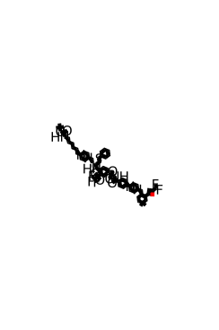 CC1(C)CCC(CN2CCN(c3ccc(C(=O)NS(=O)(=O)c4ccc(N[C@H](CCN5CCN(CCCCCCNC(=O)OC(C)(C)C)CC5)CSc5ccccc5)c(S(=O)(=O)C(F)(F)F)c4)cc3)CC2)=C(C23CC(C(F)F)(C2)C3)C1